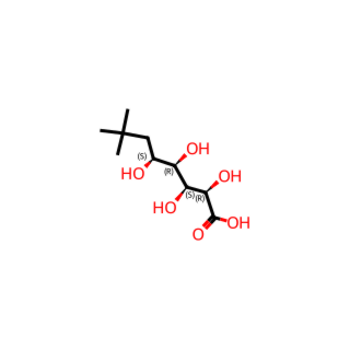 CC(C)(C)C[C@H](O)[C@@H](O)[C@H](O)[C@@H](O)C(=O)O